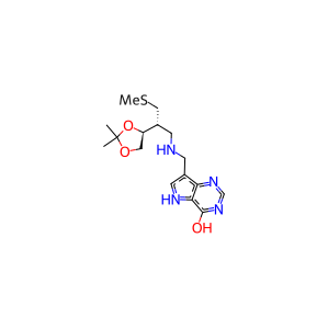 CSC[C@H](CNCc1c[nH]c2c(O)ncnc12)[C@H]1COC(C)(C)O1